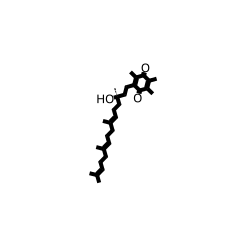 CC(C)=CCC/C(C)=C/CC/C(C)=C/CC[C@@](C)(O)CCC1=C(C)C(=O)C(C)=C(C)C1=O